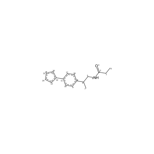 CCC(=O)NCC(C)c1ccc(-c2ccsc2)cc1